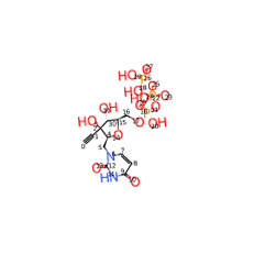 C#C[C@@]1(O)[C@H](Cn2ccc(=O)[nH]c2=O)O[C@H](COP(=O)(O)OP(=O)(O)OP(=O)(O)O)[C@H]1O